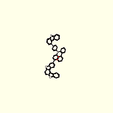 c1ccc(-c2ccccc2N(c2ccc(-c3ccc4c(c3)oc3ccc5oc6ccccc6c5c34)cc2)c2ccc(-c3cccc4sc5ccccc5c34)cc2)cc1